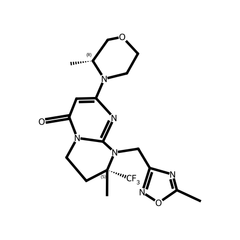 Cc1nc(CN2c3nc(N4CCOC[C@H]4C)cc(=O)n3CC[C@@]2(C)C(F)(F)F)no1